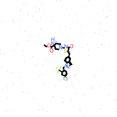 CCOC(=O)C1(N)CCN(C2=NC(=O)/C(=C/c3ccc4c(cnn4Cc4ccc(Cl)cc4C(F)(F)F)c3)S2)CC1